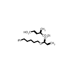 C=C(C=CC(=O)O)C(=O)OCC.C=CC(=O)OCCCCCC(C)C